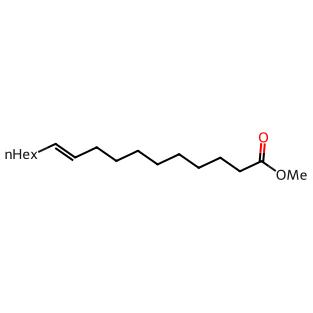 CCCCCC/C=C/CCCCCCCCC(=O)OC